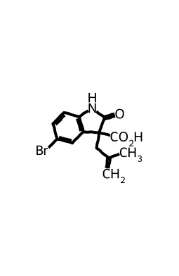 C=C(C)CC1(C(=O)O)C(=O)Nc2ccc(Br)cc21